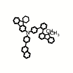 CC1(C)c2ccccc2-c2cccc(-c3ccccc3-c3ccc(N(c4ccc(-c5ccc6ccccc6c5)cc4)c4ccc5c(c4)C4(CCCCC4)c4ccccc4-5)cc3)c21